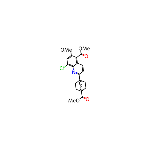 COC(=O)c1c(OC)cc(Cl)c2nc(C34CCC(C(=O)OC)(CC3)CC4)ccc12